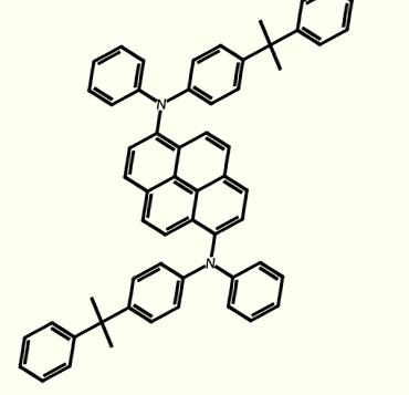 CC(C)(c1ccccc1)c1ccc(N(c2ccccc2)c2ccc3ccc4c(N(c5ccccc5)c5ccc(C(C)(C)c6ccccc6)cc5)ccc5ccc2c3c54)cc1